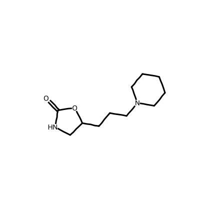 O=C1NCC(CCCN2CCCCC2)O1